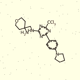 NC1(CNc2nc(-c3ccc(N4CCCC4)cc3)nc(C(Cl)(Cl)Cl)n2)CCOCC1